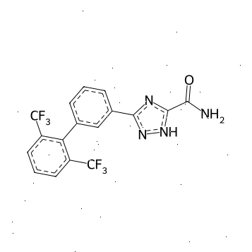 NC(=O)c1nc(-c2cccc(-c3c(C(F)(F)F)cccc3C(F)(F)F)c2)n[nH]1